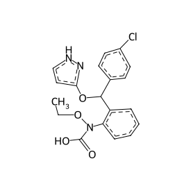 CCON(C(=O)O)c1ccccc1C(Oc1cc[nH]n1)c1ccc(Cl)cc1